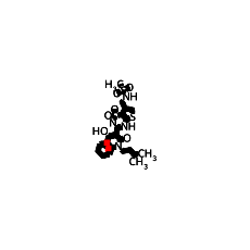 CC(C)CCN1C(=O)C(C2=NS(=O)(=O)C3=C(N2)SCC3CNS(C)(=O)=O)=C(O)C2C3CCC(CC3)C21